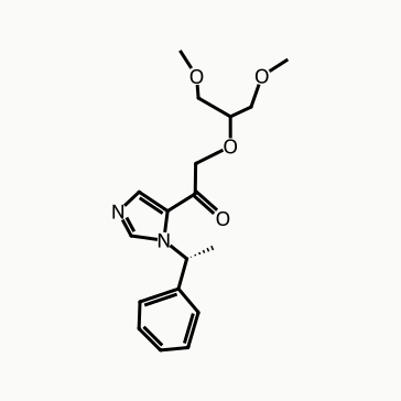 COCC(COC)OCC(=O)c1cncn1[C@H](C)c1ccccc1